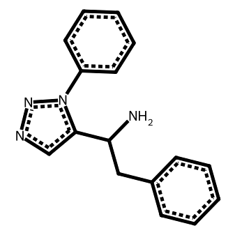 NC(Cc1ccccc1)c1cnnn1-c1ccccc1